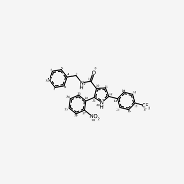 O=C(NCc1ccncc1)c1cc(-c2ccc(C(F)(F)F)cc2)[nH]c1-c1ccccc1[N+](=O)[O-]